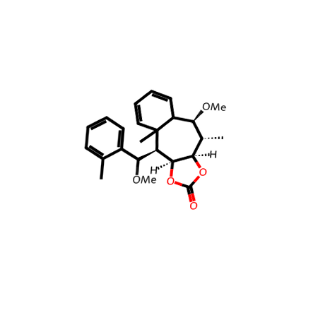 COC(c1ccccc1C)[C@@H]1[C@@H]2OC(=O)O[C@@H]2[C@@H](C)[C@H](OC)C2C=CC=CC21C